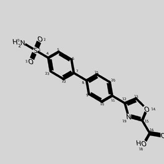 NS(=O)(=O)c1ccc(-c2ccc(-c3coc(C(=O)O)n3)cc2)cc1